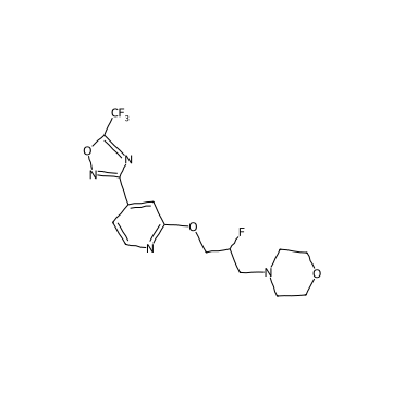 FC(COc1cc(-c2noc(C(F)(F)F)n2)ccn1)CN1CCOCC1